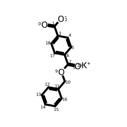 O=C([O-])c1ccc(C(=O)OCc2ccccc2)cc1.[K+]